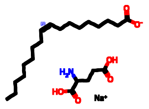 CCCCCCCC/C=C\CCCCCCCC(=O)[O-].NC(CCC(=O)O)C(=O)O.[Na+]